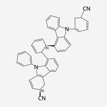 N#CC1C=CC=C(n2c3ccccc3c3c([C@@H]4C=CC=CC4c4cccc5c6c(n(-c7ccccc7)c45)C=C[C@H](C#N)C6)cccc32)C1